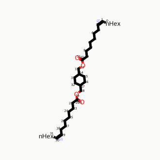 CCCCCC/C=C\CCCCCCCC(=O)OCC1CCC(COC(=O)CCCCCCC/C=C\CCCCCC)CC1